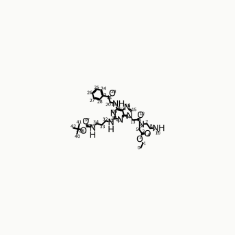 CCOC(=O)CN(CCNC)C(=O)Cn1cnc2c(NCC(=O)c3ccccc3)nc(NCCCNC(=O)OC(C)(C)C)nc21